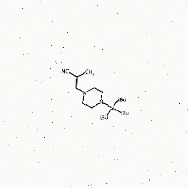 CCC(C)[Si](C(C)CC)(C(C)CC)N1CCN(CC(C)C#N)CC1